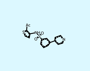 CC(=O)c1sccc1NS(=O)(=O)c1cccc(-c2ccncc2)c1